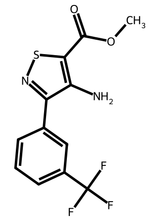 COC(=O)c1snc(-c2cccc(C(F)(F)F)c2)c1N